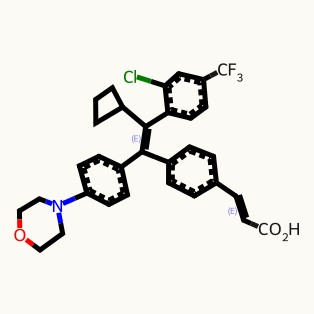 O=C(O)/C=C/c1ccc(/C(=C(\c2ccc(C(F)(F)F)cc2Cl)C2CCC2)c2ccc(N3CCOCC3)cc2)cc1